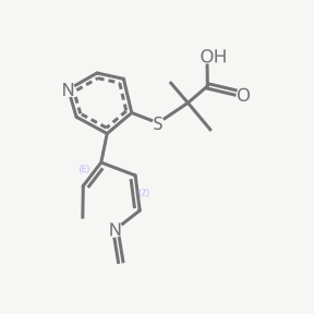 C=N/C=C\C(=C/C)c1cnccc1SC(C)(C)C(=O)O